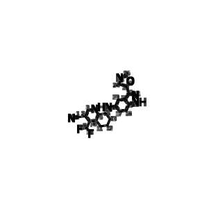 N#Cc1cnc2c(c1C(F)F)CCC[C@H]2Nc1ccc2[nH]nc(-c3cnco3)c2c1